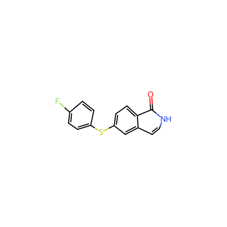 O=c1[nH]ccc2cc(Sc3ccc(F)cc3)ccc12